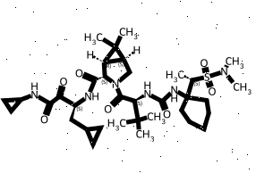 C[C@@H](C1(NC(=O)N[C@H](C(=O)N2C[C@H]3[C@@H]([C@H]2C(=O)N[C@@H](CC2CC2)C(=O)C(=O)NC2CC2)C3(C)C)C(C)(C)C)CCCCC1)S(=O)(=O)N(C)C